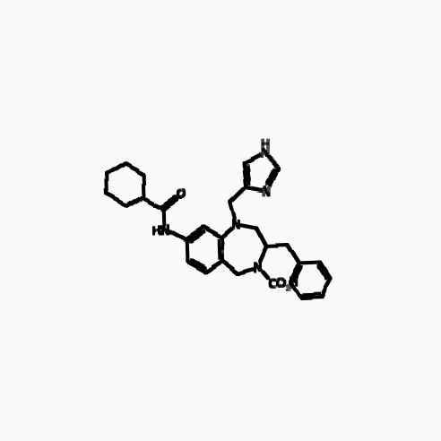 O=C(Nc1ccc2c(c1)N(Cc1c[nH]cn1)CC(Cc1ccccc1)N(C(=O)O)C2)C1CCCCC1